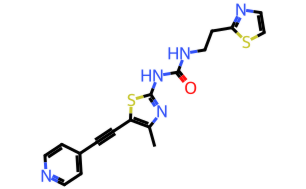 Cc1nc(NC(=O)NCCc2nccs2)sc1C#Cc1ccncc1